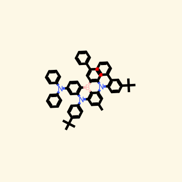 Cc1cc2c3c(c1)N(c1ccc(C(C)(C)C)cc1-c1ccccc1)c1ccc(-c4ccccc4)cc1B3c1ccc(N(c3ccccc3)c3ccccc3)cc1N2c1ccc(C(C)(C)C)cc1